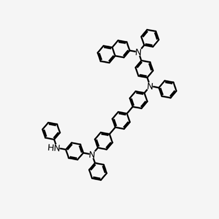 c1ccc(Nc2ccc(N(c3ccccc3)c3ccc(-c4ccc(-c5ccc(N(c6ccccc6)c6ccc(N(c7ccccc7)c7ccc8ccccc8c7)cc6)cc5)cc4)cc3)cc2)cc1